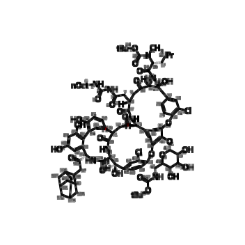 CCCCCCCCNC(=O)NC(=O)C[C@@H]1CC(=O)[C@H](NC(=O)[C@@H](CC(C)C)N(C)C(=O)OC(C)(C)C)[C@H](O)c2ccc(c(Cl)c2)Oc2cc3cc(c2OC2OC(CNC(=O)OC(C)(C)C)C(O)C(O)C2O)Oc2ccc(cc2Cl)[C@@H](O)[C@@H]2NC(=O)[C@H](CC(=O)[C@@H]3NC1=O)c1ccc(O)c(c1)-c1c(O)cc(O)cc1[C@@H](C(=O)CC1C3CC4CC(C3)CC1C4)NC2=O